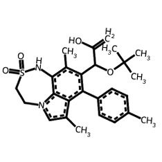 C=C(O)C(OC(C)(C)C)c1c(C)c2c3c(c(C)cn3CCS(=O)(=O)N2)c1-c1ccc(C)cc1